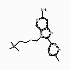 Cc1ccc(-c2nc3cc(N)ncc3n2COCC[Si](C)(C)C)nn1